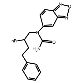 CCCC(CCc1ccccc1)CN(C(N)=O)c1ccc2nonc2c1